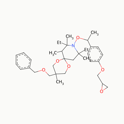 CCC1(C)CC2(OCC(C)(COCc3ccccc3)CO2)C(C)C(C)(CC)N1OC(C)c1ccc(OCC2CO2)cc1